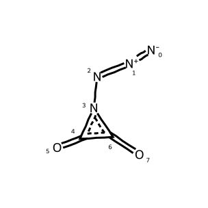 [N-]=[N+]=Nn1c(=O)c1=O